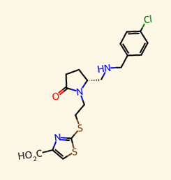 O=C(O)c1csc(SCCN2C(=O)CC[C@@H]2CNCc2ccc(Cl)cc2)n1